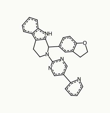 c1ccc(-c2cnc(N3CCc4c([nH]c5ccccc45)C3c3ccc4c(c3)CCO4)nc2)nc1